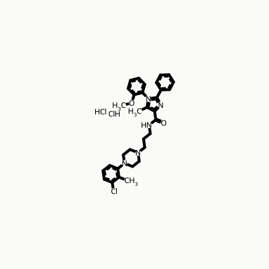 COc1ccccc1-n1c(-c2ccccc2)nc(C(=O)NCCCN2CCN(c3cccc(Cl)c3C)CC2)c1C.Cl.Cl